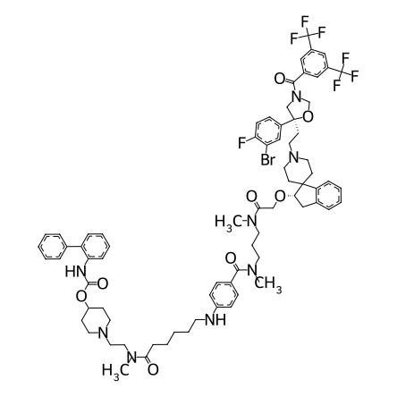 CN(CCN1CCC(OC(=O)Nc2ccccc2-c2ccccc2)CC1)C(=O)CCCCCNc1ccc(C(=O)N(C)CCCN(C)C(=O)CO[C@H]2Cc3ccccc3C23CCN(CC[C@]2(c4ccc(F)c(Br)c4)CN(C(=O)c4cc(C(F)(F)F)cc(C(F)(F)F)c4)CO2)CC3)cc1